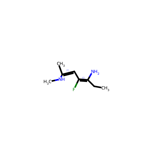 CC/C(N)=C(F)/C=C(/C)NC